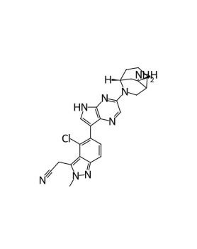 Cn1nc2ccc(-c3c[nH]c4nc(N5CC6CCC[C@@H]5C[C@@H]6N)cnc34)c(Cl)c2c1CC#N